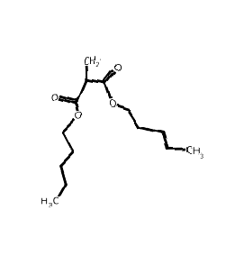 [CH2]C(C(=O)OCCCCC)C(=O)OCCCCC